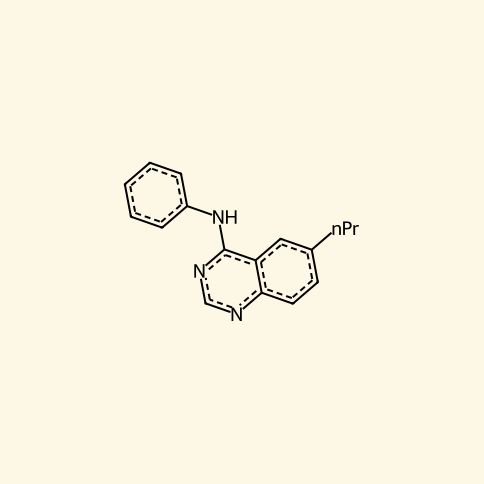 CCCc1ccc2ncnc(Nc3ccccc3)c2c1